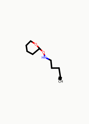 C#CCCCNOC1CCCCO1